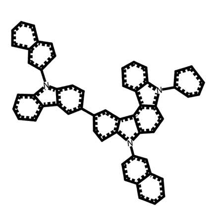 c1ccc(-n2c3ccccc3c3c4c5cc(-c6ccc7c(c6)c6ccccc6n7-c6ccc7ccccc7c6)ccc5n(-c5ccc6ccccc6c5)c4ccc32)cc1